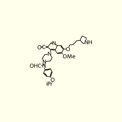 COC1=CC2=C(N3CCN(N(C=O)c4ccc(OC(C)C)cc4)CC3)C(=C=O)C=NC2C=C1OCCCC1CCNC1